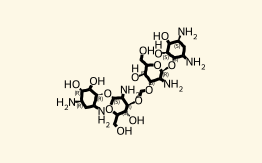 NC1C[C@@H](N)[C@@H](O)C(O)[C@@H]1O[C@H]1OC(CO)[C@@H](O)[C@H](OCO[C@H]2C(N)[C@H](O[C@H]3C(N)C[C@H](N)C(O)[C@@H]3O)OC(CO)[C@@H]2O)C1N